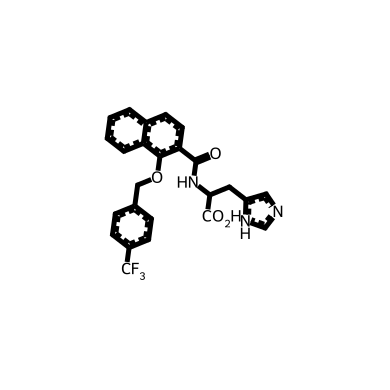 O=C(NC(Cc1cnc[nH]1)C(=O)O)c1ccc2ccccc2c1OCc1ccc(C(F)(F)F)cc1